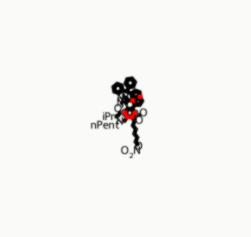 CCCCCN(Cc1ccc(-c2ccccc2-c2nnnn2C(c2ccccc2)(c2ccccc2)c2ccccc2)cc1)C(C(=O)OCc1oc(=O)oc1CCCCCO[N+](=O)[O-])C(C)C